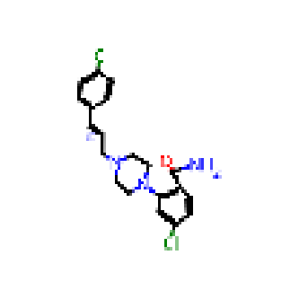 NC(=O)c1ccc(Cl)cc1N1CCN(C/C=C/c2ccc(Cl)cc2)CC1